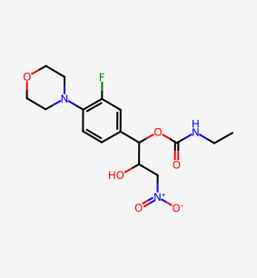 CCNC(=O)OC(c1ccc(N2CCOCC2)c(F)c1)C(O)C[N+](=O)[O-]